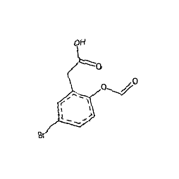 O=COc1ccc(Br)cc1CC(=O)O